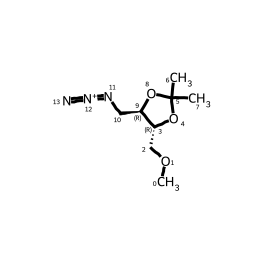 COC[C@H]1OC(C)(C)O[C@@H]1CN=[N+]=[N-]